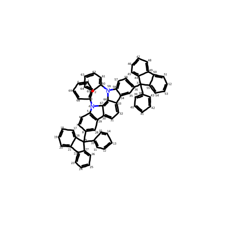 c1ccc(-n2c3ccc(C4(c5ccccc5)c5ccccc5-c5ccccc54)cc3c3ccc4c5cc(C6(c7ccccc7)c7ccccc7-c7ccccc76)ccc5n(-c5ccccc5)c4c32)cc1